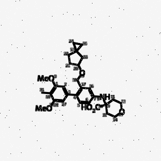 COc1cc(-c2ccc(NC3(C(=O)O)CCOCC3)cc2COC2CCC3(CC3)C2)cc(OC)c1C